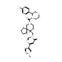 Cn1cc(-c2cc(=O)n(CC3(O)CCN(C(=O)N4CCOCC4c4ccc(F)cc4)CC34CCCC4)cn2)cn1